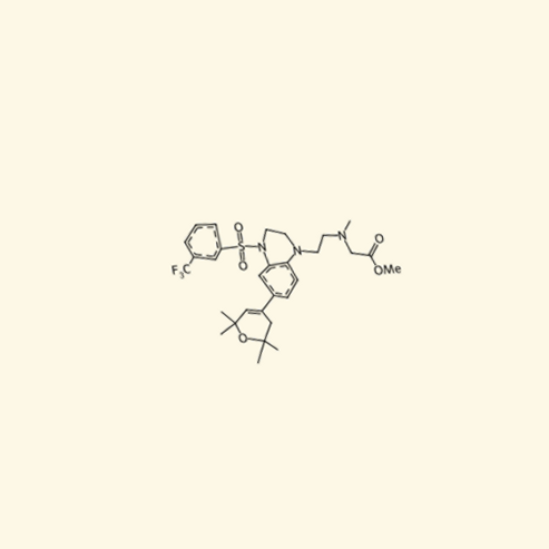 COC(=O)CN(C)CCN1CCN(S(=O)(=O)c2cccc(C(F)(F)F)c2)c2cc(C3=CC(C)(C)OC(C)(C)C3)ccc21